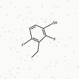 CCc1c(F)ccc(S)c1F